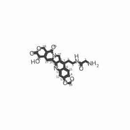 NCC(=O)NCCc1c2c(nc3cc4c(cc13)OCO4)-c1cc3c(c(=O)n1C2)COC(=O)[C@H]3O